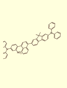 CC1(C)c2cc(-c3ccc(-c4ccc(N(c5ccccc5)c5ccccc5)cc4[N+](=O)[O-])c4ccccc34)ccc2-c2ccc(N(c3ccccc3)c3ccccc3)cc21